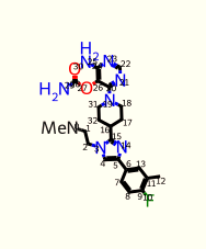 CNCCn1cc(-c2ccc(F)c(C)c2)nc1C1CCN(c2ncnc(N)c2OC(N)=O)CC1